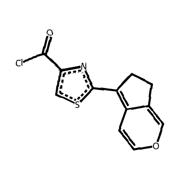 O=C(Cl)c1csc(C2=C3C=COC=C3CC2)n1